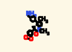 Cc1ccc(N(C)C(=O)C2(c3ccc4c(c3)OCO4)CC2)cc1C1=CC=C(CN)CC1